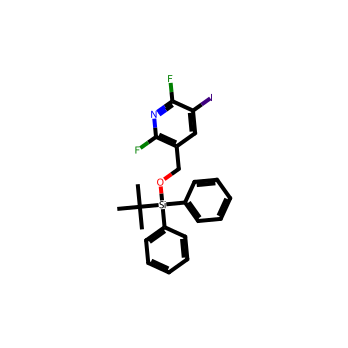 CC(C)(C)[Si](OCc1cc(I)c(F)nc1F)(c1ccccc1)c1ccccc1